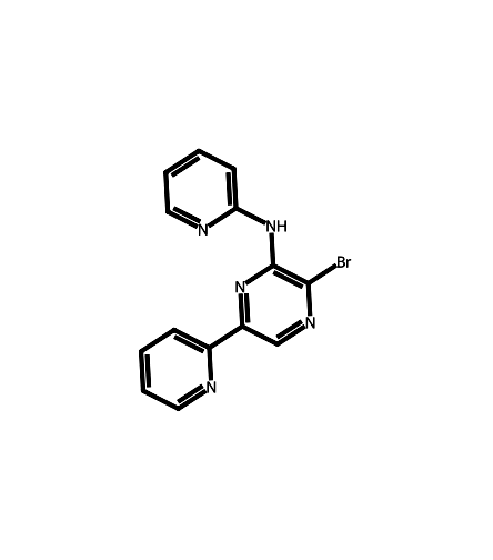 Brc1ncc(-c2ccccn2)nc1Nc1ccccn1